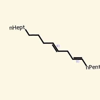 [CH2]CCCCCCCCC/C=C/C/C=C/CCCCC